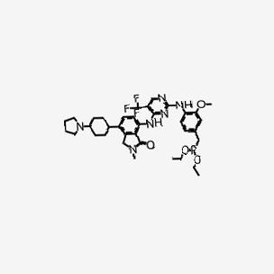 CCOP(Cc1ccc(Nc2ncc(C(F)(F)F)c(Nc3ccc(C4CCC(N5CCCC5)CC4)c4c3C(=O)N(C)C4)n2)c(OC)c1)OCC